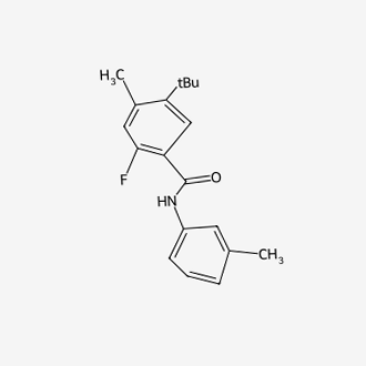 Cc1cccc(NC(=O)c2cc(C(C)(C)C)c(C)cc2F)c1